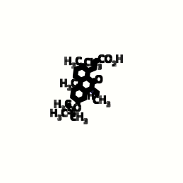 C/C=C1/C(=O)C2C(CCC(=O)O)C(C)(C)CCC2[C@@]2(C)CCC(O[Si](C)(C)C)C[C@@H]12